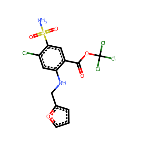 NS(=O)(=O)c1cc(C(=O)OC(Cl)(Cl)Cl)c(NCc2ccco2)cc1Cl